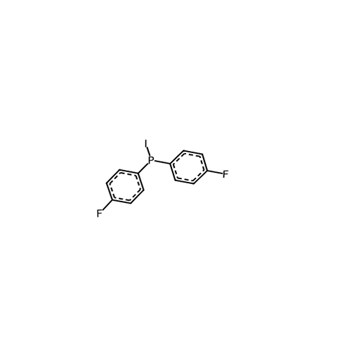 Fc1ccc(P(I)c2ccc(F)cc2)cc1